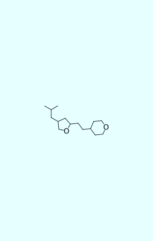 CC(C)CC1COC(CCC2CCOCC2)C1